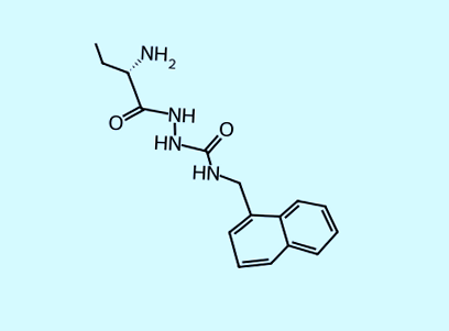 CC[C@H](N)C(=O)NNC(=O)NCc1cccc2ccccc12